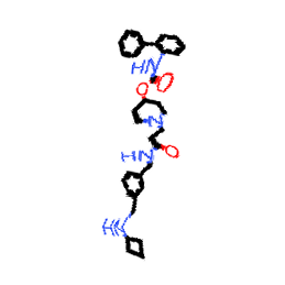 O=C(CCN1CCC(OC(=O)Nc2ccccc2-c2ccccc2)CC1)NCc1cccc(CNC2CCC2)c1